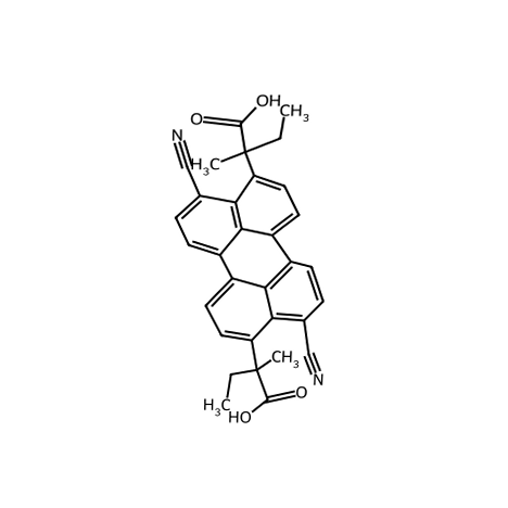 CCC(C)(C(=O)O)c1ccc2c3ccc(C#N)c4c(C(C)(CC)C(=O)O)ccc(c5ccc(C#N)c1c52)c43